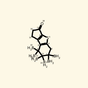 BC1(B)Cc2sc3c(c2C(B)(B)C1(B)B)CCC3=O